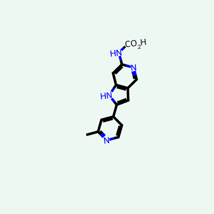 Cc1cc(-c2cc3cnc(NC(=O)O)cc3[nH]2)ccn1